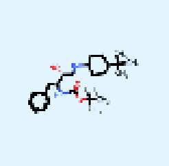 CC(C)(C)OC(=O)N[C@@H](Cc1ccccc1)[C@H](O)CNC1CCC(C(C)(C)C)CC1